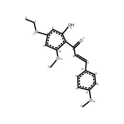 CCOc1cc(O)c(C(=O)C=Cc2ccc(OC)cc2)c(OC)c1